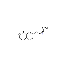 CC(=O)O/C=C(/C)Cc1ccc2c(c1)OOCC2